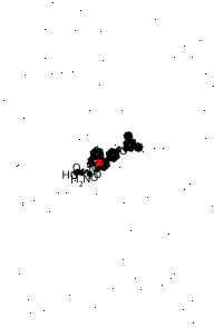 CC(C)(C)c1cc(OCc2ccc(-c3ccc(C(=O)N([C@@H](CCC(=O)O)C(N)=O)C(C)(C)Cc4ccccc4)cc3)cc2)cc(C(C)(C)C)c1